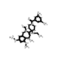 CCNC1(C2=C[C@H](C)c3c(cc(OC)cc3OC)CN2C=O)CCN(C(=O)c2cc(C)cc(C)c2)CC1